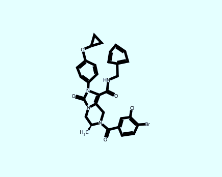 C[C@H]1Cn2c(c(C(=O)NCc3ccccc3)n(-c3ccc(OC4CC4)cc3)c2=O)CN1C(=O)c1ccc(Br)c(Cl)c1